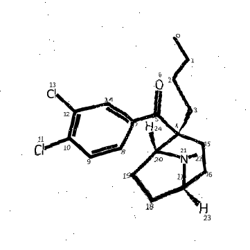 CCCC[C@@]1(C(=O)c2ccc(Cl)c(Cl)c2)CC[C@@H]2CC[C@H]1N2C